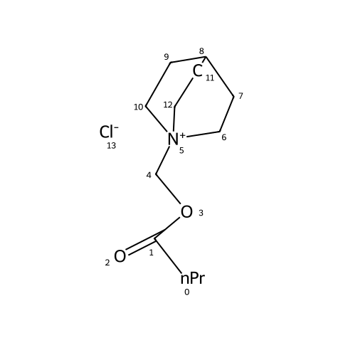 CCCC(=O)OC[N+]12CCC(CC1)CC2.[Cl-]